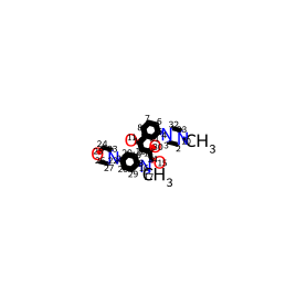 CN1CCN(c2cccc3c(=O)cc(C(=O)N(C)c4ccc(N5CCOCC5)cc4)oc23)CC1